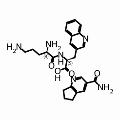 NC(=O)c1cnc2c(c1)CCC2.NCCC[C@@H](N)C(=O)N[C@@H](Cc1cnc2ccccc2c1)C(=O)O